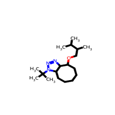 CC(C)C(C)COC1CCCCCC2C1N=NN2C(C)(C)C